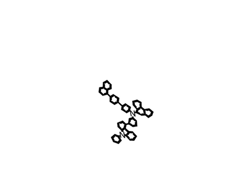 c1ccc(-n2c3ccccc3c3c(-c4cccc(N(c5ccc(-c6ccc(-c7cccc8ccccc78)cc6)cc5)c5cc6ccccc6c6ccccc56)c4)cccc32)cc1